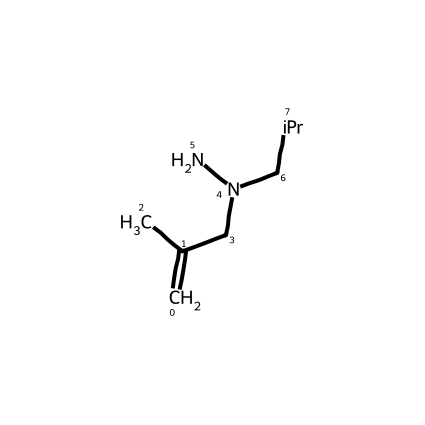 C=C(C)CN(N)CC(C)C